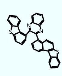 c1ccc2nc(-c3cccc4sc5ccccc5c34)c(-c3cccc4c3ccc3sc5ccccc5c34)nc2c1